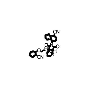 C[C@]12CC[C@](CCOc3ccccc3C#N)(O1)[C@@H]1C(=O)N(c3ccc(C#N)c4ccccc34)C(=O)[C@@H]12